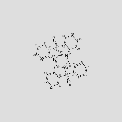 O=P(c1ccccc1)(c1ccccc1)c1nnc(P(=O)(c2ccccc2)c2ccccc2)nn1